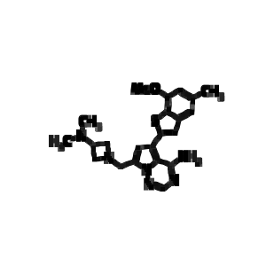 COc1cc(C)cc2cc(-c3cc(CN4CC(N(C)C)C4)n4ncnc(N)c34)sc12